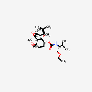 CCOC[C@H](NC(=O)O[C@@H]1CC[C@]2(CO2)[C@@H]([C@@]2(C)O[C@@]2(C)CC=C(C)C)[C@@H]1OC)C(C)C